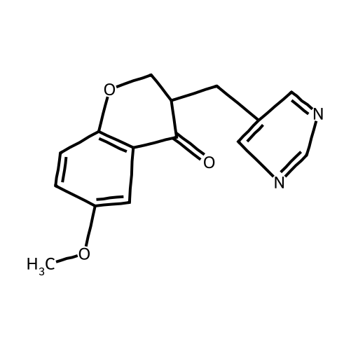 COc1ccc2c(c1)C(=O)C(Cc1cncnc1)CO2